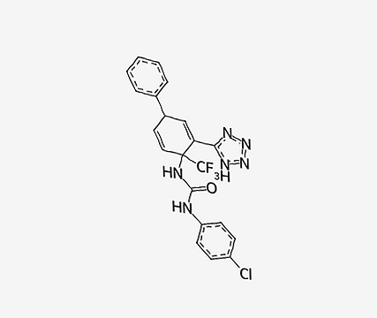 O=C(Nc1ccc(Cl)cc1)NC1(C(F)(F)F)C=CC(c2ccccc2)C=C1c1nnn[nH]1